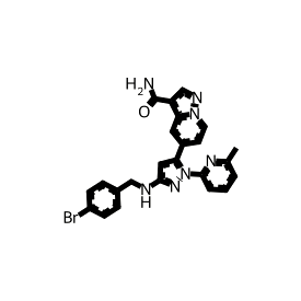 Cc1cccc(-n2nc(NCc3ccc(Br)cc3)cc2-c2ccn3ncc(C(N)=O)c3c2)n1